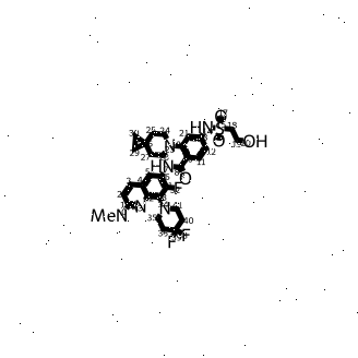 CNc1ccc2cc(NC(=O)c3ccc(NS(=O)(=O)CCO)cc3N3CCC4(CC3)CC4)c(F)c(N3CCC(F)(F)CC3)c2n1